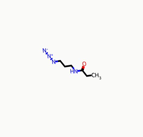 CCC(=O)NCCCN=[N+]=[N-]